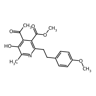 COC(=O)c1c(CCc2ccc(OC)cc2)nc(C)c(O)c1C(C)=O